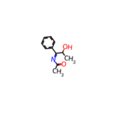 CC(=O)/N=C(/c1ccccc1)C(C)O